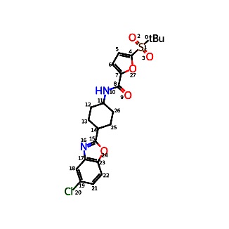 CC(C)(C)S(=O)(=O)c1ccc(C(=O)NC2CCC(c3nc4cc(Cl)ccc4o3)CC2)o1